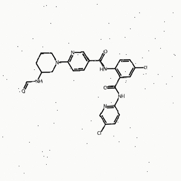 O=CNC1CCCN(c2ccc(C(=O)Nc3ccc(Cl)cc3C(=O)Nc3ccc(Cl)cn3)cn2)C1